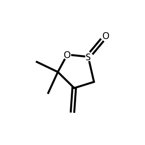 C=C1CS(=O)OC1(C)C